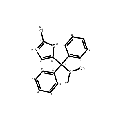 C[S+]([O-])C(c1ccccc1)(c1ccccc1)c1cnc(Cl)s1